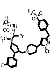 CCn1nc(Cc2ccc(S(=O)(=O)C(F)(F)F)cc2)cc1C1CCN(CC2CC(N(C)[C@@H](C(=O)O)C(C)C)CC2c2cccc(F)c2)CC1.Cl.Cl.Cl